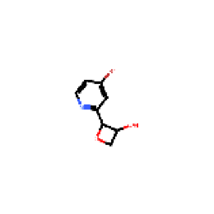 OC1COC1c1cc(Br)ccn1